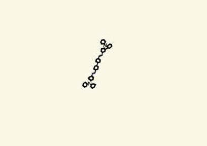 C(=C\c1ccc(N(c2ccccc2)c2ccccc2)cc1)/c1ccc(-c2ccc(/C=C/c3ccc4c(c3)c3ccccc3n4-c3ccccc3)cc2)cc1